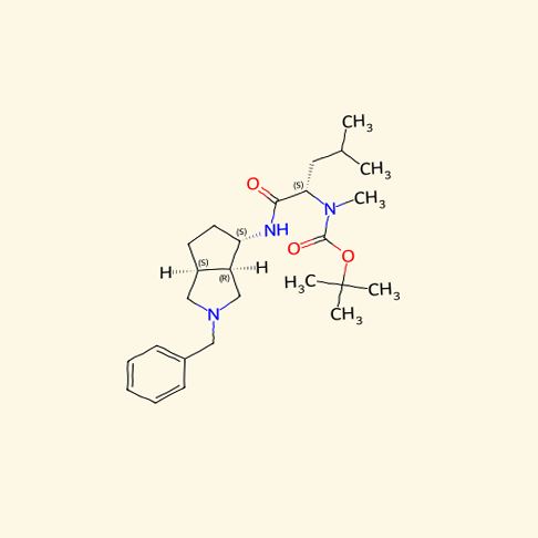 CC(C)C[C@@H](C(=O)N[C@H]1CC[C@@H]2CN(Cc3ccccc3)C[C@@H]21)N(C)C(=O)OC(C)(C)C